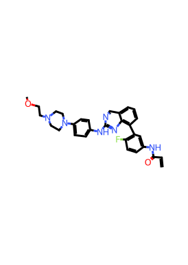 C=CC(=O)Nc1ccc(F)c(-c2cccc3cnc(Nc4ccc(N5CCN(CCOC)CC5)cc4)nc23)c1